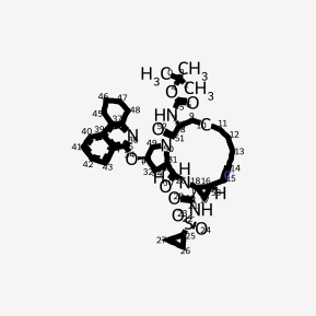 CC(C)(C)OC(=O)N[C@H]1CCCCC/C=C\[C@@H]2C[C@@]2(C(=O)NS(=O)(=O)C2CC2)NC(=O)[C@@H]2C[C@@H](Oc3nc4c(c5ccccc35)CCCC4)CN2C1=O